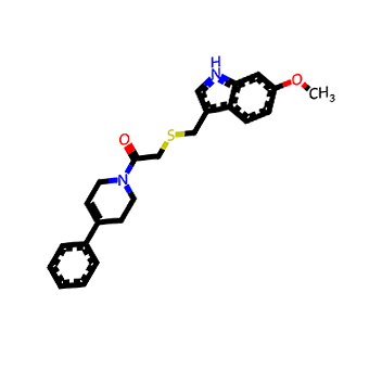 COc1ccc2c(CSCC(=O)N3CC=C(c4ccccc4)CC3)c[nH]c2c1